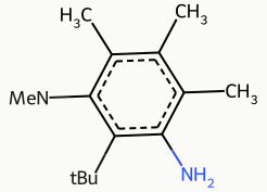 CNc1c(C)c(C)c(C)c(N)c1C(C)(C)C